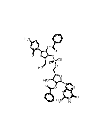 Nc1ncn([C@@H]2O[C@H](CO)C(OP(=O)(O)OC[C@H]3O[C@@H](n4cnc5c(=O)[nH]c(N)nc54)C(OC(=O)c4ccccc4)[C@H]3O)C2OC(=O)c2ccccc2)c(=O)n1